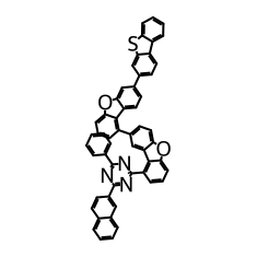 c1ccc(-c2nc(-c3ccc4ccccc4c3)nc(-c3cccc4oc5ccc(-c6cccc7oc8cc(-c9ccc%10c(c9)sc9ccccc9%10)ccc8c67)cc5c34)n2)cc1